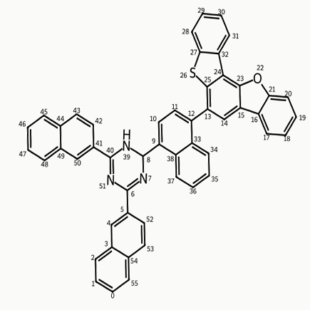 c1ccc2cc(C3=NC(c4ccc(-c5cc6c7ccccc7oc6c6c5sc5ccccc56)c5ccccc45)NC(c4ccc5ccccc5c4)=N3)ccc2c1